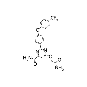 NC(=O)COc1cc(C(N)=O)nc(-c2ccc(Oc3ccc(C(F)(F)F)cc3)cc2)n1